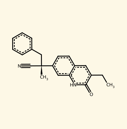 CCc1cc2ccc([C@](C)(C#N)Cc3ccccc3)cc2[nH]c1=O